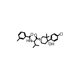 Cc1cccc(C(=O)N[C@@H](C(=O)N2CC[C@](O)(c3ccc(Cl)cc3)C(C)(C)C2)C(C)C)c1